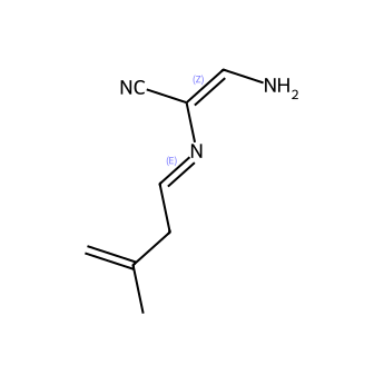 C=C(C)C/C=N/C(C#N)=C\N